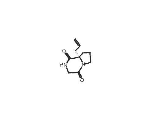 C=CC[C@]12CCCN1C(=O)CNC2=O